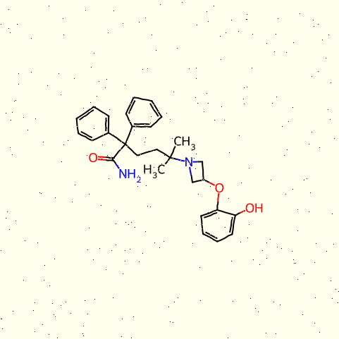 CC(C)(CCC(C(N)=O)(c1ccccc1)c1ccccc1)N1CC(Oc2ccccc2O)C1